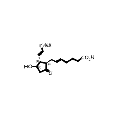 CCCCCCC=C[C@H]1[C@H](O)CC(=O)[C@@H]1CC=CCCCC(=O)O